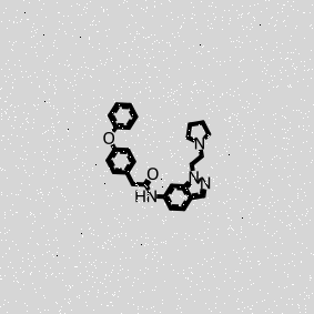 O=C(Cc1ccc(Oc2ccccc2)cc1)Nc1ccc2cnn(CCN3CCCC3)c2c1